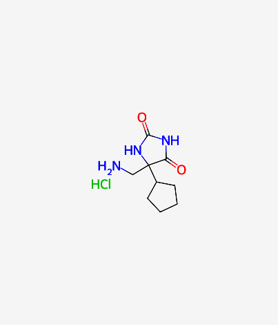 Cl.NCC1(C2CCCC2)NC(=O)NC1=O